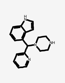 c1ccc(C(c2cccc3[nH]ccc23)N2CCNCC2)nc1